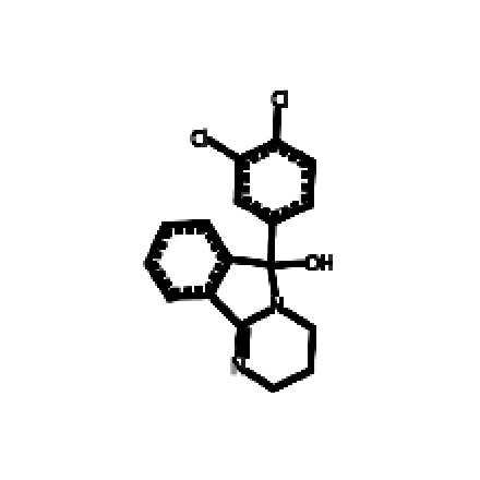 OC1(c2ccc(Cl)c(Cl)c2)c2ccccc2C2=NCCCN21